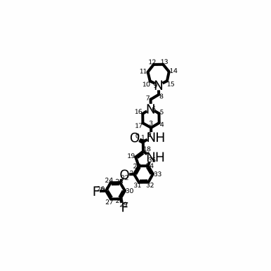 O=C(NC1CCN(CCN2CCCCCC2)CC1)c1cc2c(Oc3cc(F)cc(F)c3)cccc2[nH]1